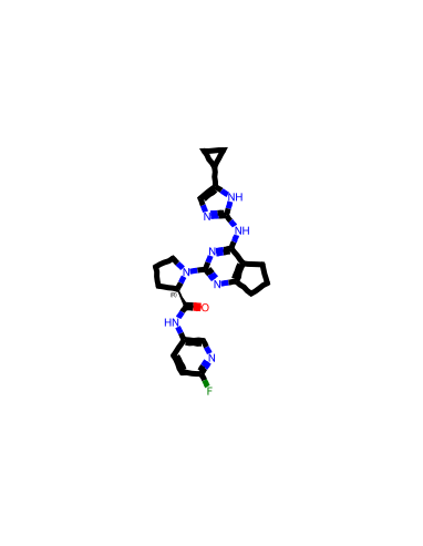 O=C(Nc1ccc(F)nc1)[C@H]1CCCN1c1nc2c(c(Nc3ncc(C4CC4)[nH]3)n1)CCC2